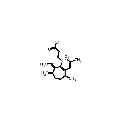 C=C1CCC(C)C(C=C(C)C)=C(SCCC(=O)O)/C1=C/C